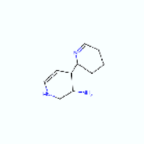 NC1CNC=CC1C1CCCC=N1